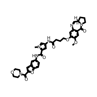 COc1cc2c(cc1OCCCC(=O)Nc1cc(C(=O)Nc3ccc4oc(C(=O)N5CCOCC5)cc4c3)n(C)c1)N=C[C@@H]1CCCN1C2=O